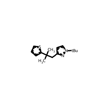 CC(C)(Cc1ccn(C(C)(C)C)n1)c1cccs1